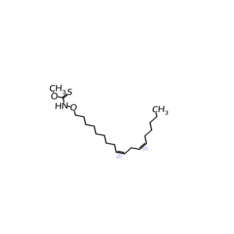 CCCCC/C=C\C/C=C\CCCCCCCCONC(=S)OC